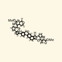 COC(=O)N[C@H](C(=O)N1[C@@H](C)CC[C@H]1c1nc2ccc3cc4c(cc3c2[nH]1)OCc1cc(-c2cnc([C@@H]3CC[C@H](C)N3C(=O)[C@@H](NC(=O)OC)C3C[C@@H](C)O[C@H](C)C3)[nH]2)ccc1-4)C(C)C